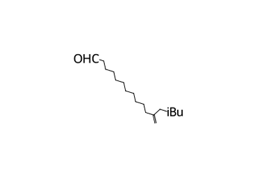 C=C(CCCCCCCCCCC=O)CC(C)CC